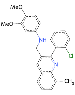 COc1ccc(NCc2cc3cccc(C)c3nc2-c2ccccc2Cl)cc1OC